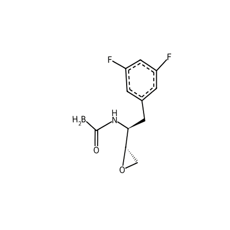 BC(=O)N[C@@H](Cc1cc(F)cc(F)c1)[C@@H]1CO1